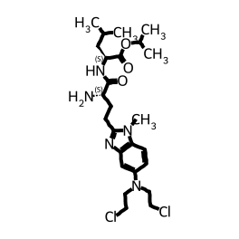 CC(C)C[C@H](NC(=O)[C@@H](N)CCc1nc2cc(N(CCCl)CCCl)ccc2n1C)C(=O)OC(C)C